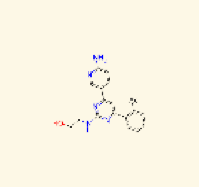 CC(=O)c1ccccc1-c1cc(-c2ccc(N)nc2)nc(NCCO)n1